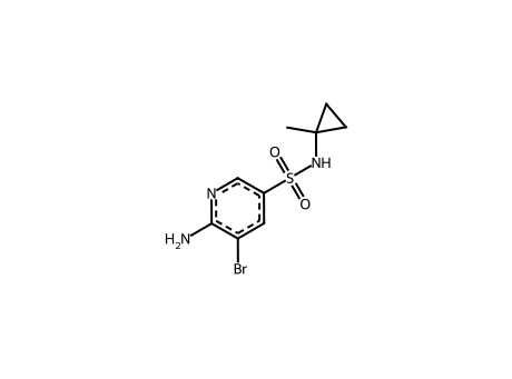 CC1(NS(=O)(=O)c2cnc(N)c(Br)c2)CC1